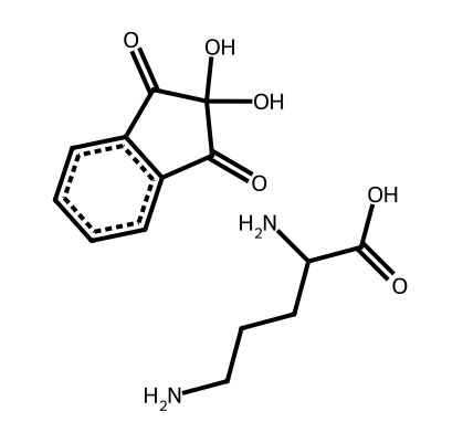 NCCCC(N)C(=O)O.O=C1c2ccccc2C(=O)C1(O)O